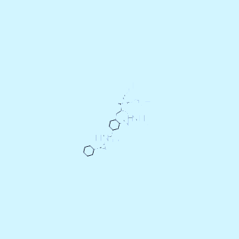 CCCN(CCC)C(=O)C1=Cc2ccc(C(=O)N[C@H]3CC3c3ccccc3)cc2N=C(N)C1